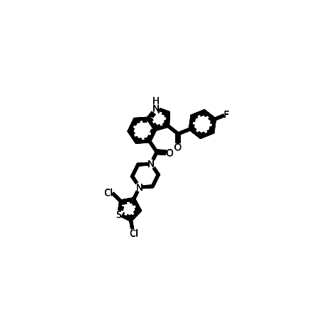 O=C(c1ccc(F)cc1)c1c[nH]c2cccc(C(=O)N3CCN(c4cc(Cl)sc4Cl)CC3)c12